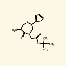 CC(C)(C)OC(=O)CN1CC(c2cccs2)SCC(N)C1=O